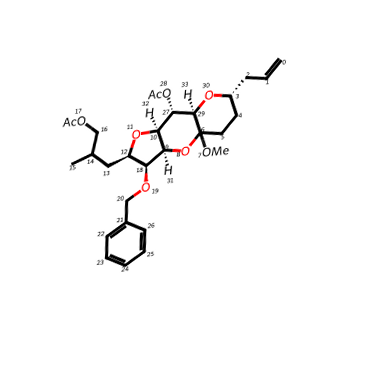 C=CC[C@@H]1CCC2(OC)O[C@@H]3[C@@H](O[C@H](CC(C)COC(C)=O)[C@@H]3OCc3ccccc3)[C@H](OC(C)=O)[C@H]2O1